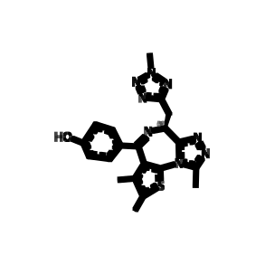 Cc1sc2c(c1C)C(c1ccc(O)cc1)=N[C@@H](Cc1nnn(C)n1)c1nnc(C)n1-2